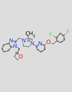 C[C@H]1CN(c2cccc(OCc3ccc(F)cc3F)n2)CCN1Cc1nc2ccccc2n1C[C@@H]1CCO1